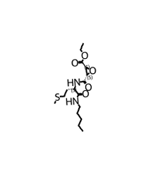 CCCCCNC(=O)[C@H](CCSC)NC(=O)[C@H]1O[C@@H]1C(=O)OCC